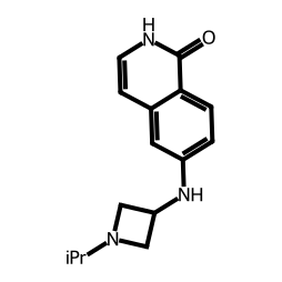 CC(C)N1CC(Nc2ccc3c(=O)[nH]ccc3c2)C1